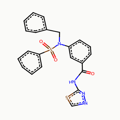 O=C(Nc1nncs1)c1cccc(N(Cc2ccccc2)S(=O)(=O)c2ccccc2)c1